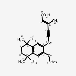 CCCCCCOc1cc2c(cc1[Se]C#CC(C)=CC(=O)O)C(C)(C)CCC2(C)C